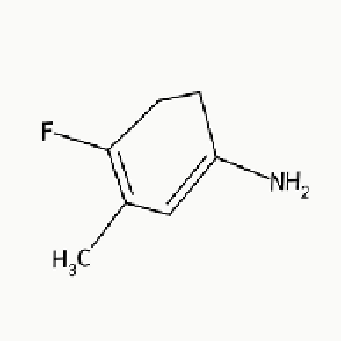 CC1=C(F)CCC(N)=C1